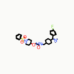 CN(C)C(c1ccc(F)cc1)C1CCC(CNC(=O)COC2CCN(S(=O)(=O)c3ccccc3)CC2)CC1